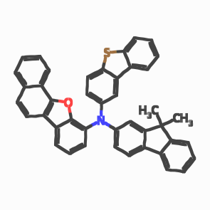 CC1(C)c2ccccc2-c2ccc(N(c3ccc4sc5ccccc5c4c3)c3cccc4c3oc3c5ccccc5ccc43)cc21